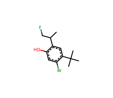 CC(CF)c1cc(C(C)(C)C)c(Br)cc1O